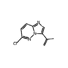 C=C(C)c1cnc2ccc(Cl)nn12